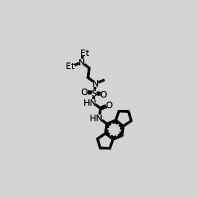 CCN(CC)CCN(C)S(=O)(=O)NC(=O)Nc1c2c(cc3c1CCC3)CCC2